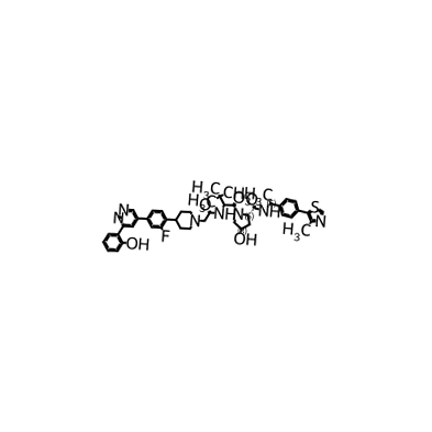 Cc1ncsc1-c1ccc([C@H](C)NC(=O)[C@@H]2C[C@@H](O)CN2C(=O)C(NC(=O)CN2CCC(c3ccc(-c4cnnc(-c5ccccc5O)c4)cc3F)CC2)C(C)(C)C)cc1